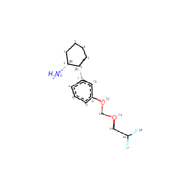 N[C@@H]1CCCC[C@@H]1c1cccc(OCOCC(F)F)c1